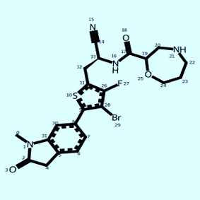 CN1C(=O)Cc2ccc(-c3sc(C[C@@H](C#N)NC(=O)C4CNCCCO4)c(F)c3Br)cc21